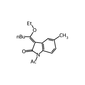 CCCCC(OCC)=C1C(=O)N(C(C)=O)c2ccc(C)cc21